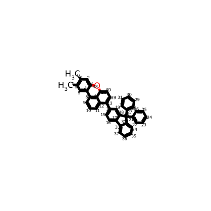 Cc1cc2c(cc1C)-c1cccc3c(-c4ccc5c(c4)C(c4ccccc4)(c4ccccc4)c4ccccc4-5)ccc(c13)O2